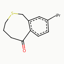 CC(C)c1ccc2c(c1)CSCCCC2=O